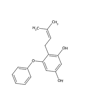 CC(C)=CCc1c(O)cc(O)cc1Oc1ccccc1